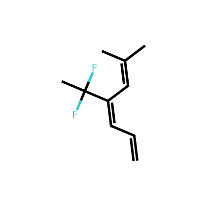 C=C/C=C(\C=C(C)C)C(C)(F)F